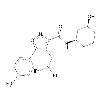 CCN(Cc1c(C(=O)N[C@@H]2CCC[C@H](O)C2)noc1-c1ccc(C(F)(F)F)cc1)C(C)C